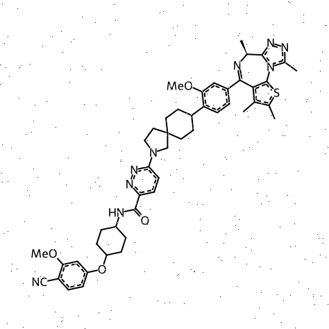 COc1cc(OC2CCC(NC(=O)c3ccc(N4CCC5(CCC(c6ccc(C7=N[C@@H](C)c8nnc(C)n8-c8sc(C)c(C)c87)cc6OC)CC5)C4)nn3)CC2)ccc1C#N